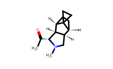 CC(=O)[C@@H]1[C@@H]2[C@H](CN1C)[C@@H]1CC[C@H]2C12CC2